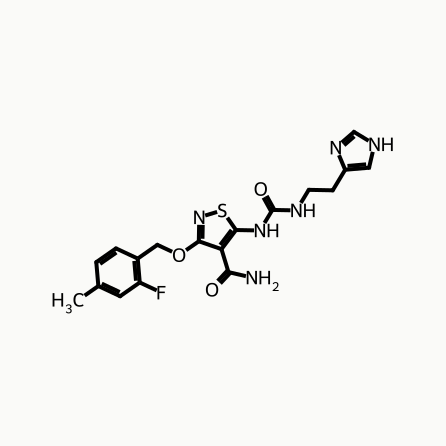 Cc1ccc(COc2nsc(NC(=O)NCCc3c[nH]cn3)c2C(N)=O)c(F)c1